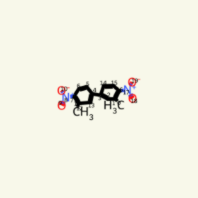 Cc1cc(-c2ccc([N+](=O)[O-])c(C)c2)ccc1[N+](=O)[O-]